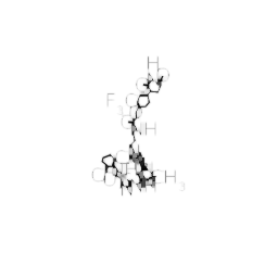 Cc1nc(Nc2ncc(C(=O)Nc3c(C)cccc3Cl)s2)cc(N2CCN(CCCNC(=O)COc3ccc(C4CCC(=O)NC4=O)cc3C(F)(F)F)CC2)n1